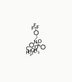 CCO[C@@H](C(=O)N(CCc1ccc(C(F)(F)F)cc1)c1ccc(C)c(C)c1)c1ccccc1